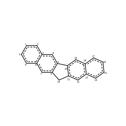 c1ccc2cc3c(cc2c1)Cc1cc2ccccc2cc1-3